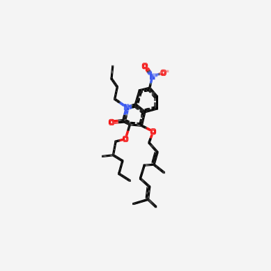 CCCCn1c(=O)c(OCC(C)CCC)c(OCC=C(C)CCC=C(C)C)c2ccc([N+](=O)[O-])cc21